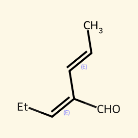 C/C=C/C(C=O)=C\CC